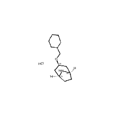 C1CCC(CO[C@H]2C[C@H]3CC[C@@H](C2)N3)CC1.Cl